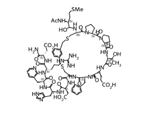 CSCC[C@H](NC(C)=O)C(O)N[C@H]1CSCc2cccc(c2)CSC[C@@H](C(=O)N[C@@H](CC(=O)O)C(=O)N[C@@H](Cc2c[nH]cn2)C(=O)N[C@@H](Cc2cccnc2)C(=O)N[C@@H](CCCNC(=N)N)C(=O)N[C@@H](CC(=O)O)C(N)=O)NC(=O)[C@H](Cc2ccccc2)NC(=O)[C@H](CCC(=O)O)NC(=O)[C@H]([C@@H](C)O)NC(=O)[C@@H]2CCCN2C(=O)[C@@H]2CCCN2C1=O